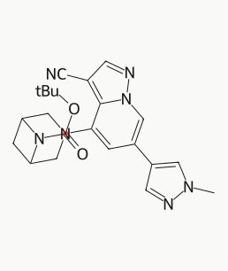 Cn1cc(-c2cc(N3CC4CC(C3)N4C(=O)OC(C)(C)C)c3c(C#N)cnn3c2)cn1